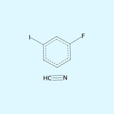 C#N.Fc1cccc(I)c1